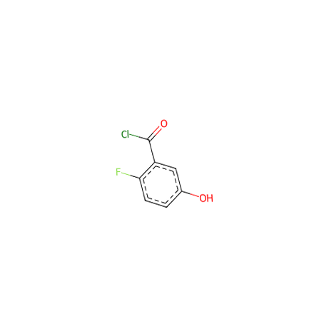 O=C(Cl)c1cc(O)ccc1F